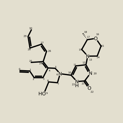 C=C\C=C/C(CN(CCO)c1cc(N2CCO[C@@H](C)C2)nc(=O)[nH]1)=C(C)/C=C\C=C/C